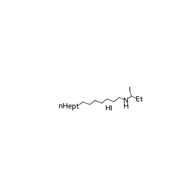 CCCCCCCCCCCCCCNC(I)CC.I